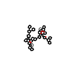 c1ccc(-c2ccc(-c3ccc(N(c4ccccc4-c4ccc5oc6c7ccccc7ccc6c5c4)c4cccc5c4ccc4cc(-c6ccc(N(c7ccc(-c8cc9ccccc9c9ccccc89)cc7)c7cccc8ccccc78)c(-c7ccc8oc9c%10ccccc%10ccc9c8c7)c6)ccc45)cc3)cc2-c2ccccc2)cc1